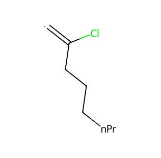 [CH]=C(Cl)CCCCCC